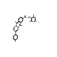 Cc1cc(N)nc(C)c1CNC(=O)c1ccc2c(c1)C1(C)OC2(C)C2C=CC(c3ccc(F)cc3)=CC21